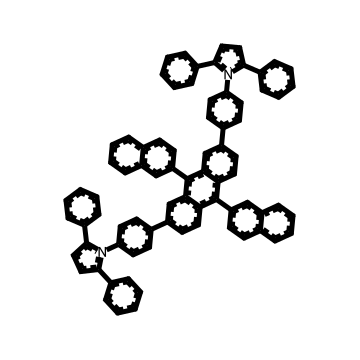 c1ccc(-c2ccc(-c3ccccc3)n2-c2ccc(-c3ccc4c(-c5ccc6ccccc6c5)c5ccc(-c6ccc(-n7c(-c8ccccc8)ccc7-c7ccccc7)cc6)cc5c(-c5ccc6ccccc6c5)c4c3)cc2)cc1